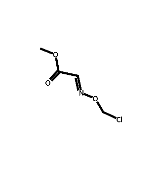 COC(=O)C=NOCCl